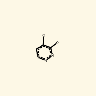 [O]c1nnncc1Cl